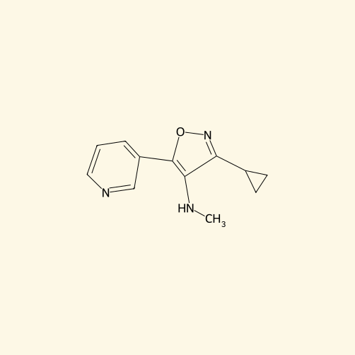 CNc1c(C2CC2)noc1-c1cccnc1